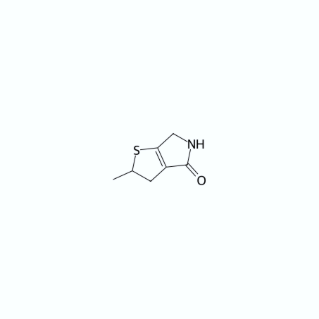 CC1CC2=C(CNC2=O)S1